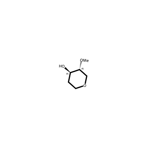 CO[C@@H]1COCC[C@H]1O